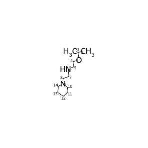 CC(C)OCCNCCN1CCCCC1